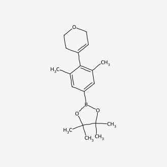 Cc1cc(B2OC(C)(C)C(C)(C)O2)cc(C)c1C1=CCOCC1